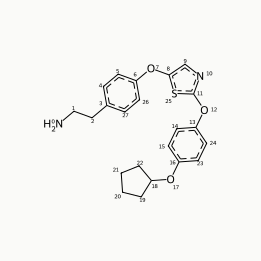 NCCc1ccc(Oc2cnc(Oc3ccc(OC4CCCC4)cc3)s2)cc1